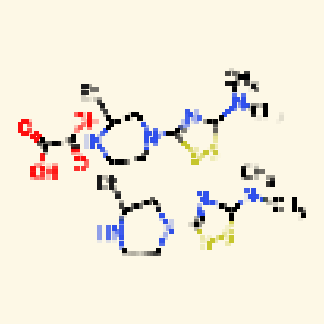 CCC1CN(C2=NC(N(C)C)SS2)CCN1.CCC1CN(C2=NC(N(C)C)SS2)CCN1.O=C(O)C(=O)O